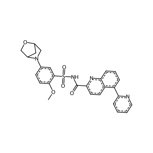 COc1ccc(N2CC3CC2CO3)cc1S(=O)(=O)NC(=O)c1ccc2c(-c3ccccn3)cccc2n1